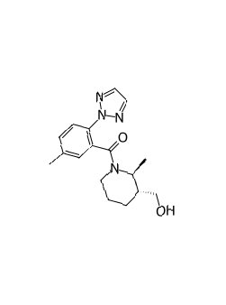 Cc1ccc(-n2nccn2)c(C(=O)N2CCC[C@@H](CO)[C@@H]2C)c1